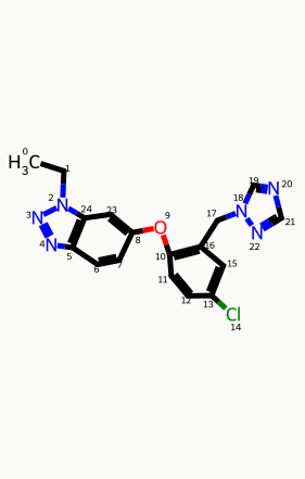 CCn1nnc2ccc(Oc3ccc(Cl)cc3Cn3cncn3)cc21